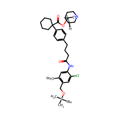 COc1cc(NC(=O)CCCc2ccc(C3(C(=O)O[C@H]4CN5CCC4CC5)CCCCC3)cc2)c(Cl)cc1CO[Si](C)(C)C(C)(C)C